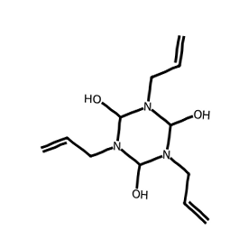 C=CCN1C(O)N(CC=C)C(O)N(CC=C)C1O